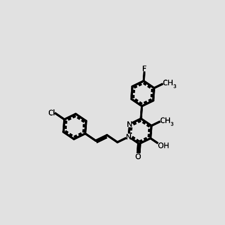 Cc1cc(-c2nn(CC=Cc3ccc(Cl)cc3)c(=O)c(O)c2C)ccc1F